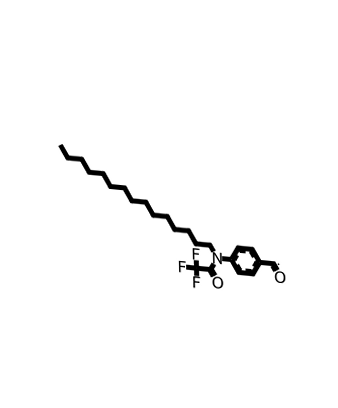 CCCCCCCCCCCCCCCN(C(=O)C(F)(F)F)c1ccc([C]=O)cc1